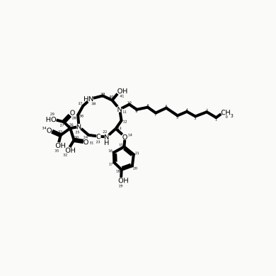 CCCCCCCCCCCN1CC(Oc2ccc(O)cc2)NCCN(C(C(=O)O)(C(=O)O)C(=O)O)CCNCC1O